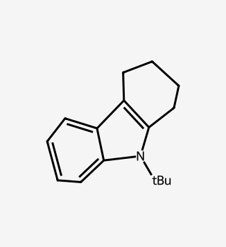 CC(C)(C)n1c2c(c3ccccc31)CCCC2